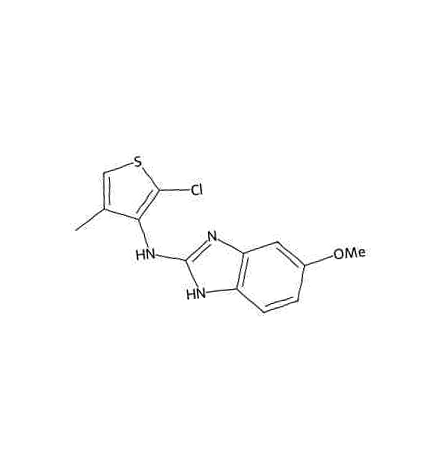 COc1ccc2[nH]c(Nc3c(C)csc3Cl)nc2c1